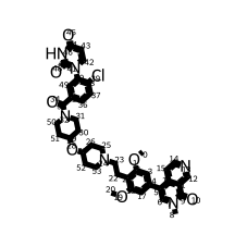 COc1cc(-c2cn(C)c(=O)c3cnccc23)cc(OC)c1CCN1CCC(OC2CCN(C(=O)c3ccc(Cl)c(-n4ccc(=O)[nH]c4=O)c3)CC2)CC1